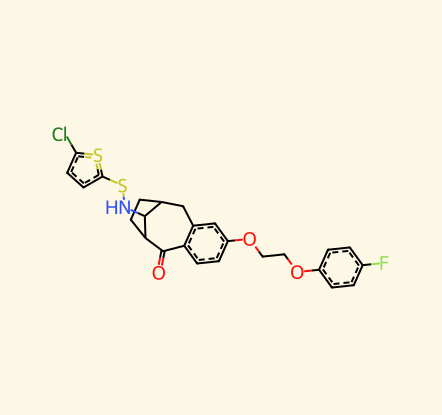 O=C1c2ccc(OCCOc3ccc(F)cc3)cc2CC2CCC1C2NSc1ccc(Cl)s1